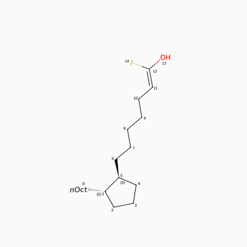 CCCCCCCC[C@H]1CCC[C@@H]1CCCCCC=C(O)F